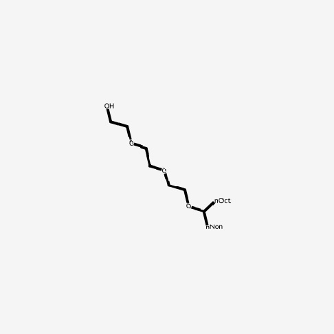 CCCCCCCCCC(CCCCCCCC)OCCOCCOCCO